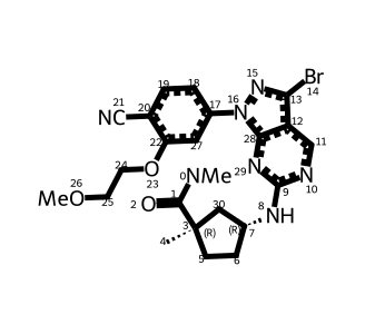 CNC(=O)[C@]1(C)CC[C@@H](Nc2ncc3c(Br)nn(-c4ccc(C#N)c(OCCOC)c4)c3n2)C1